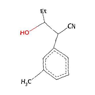 CCC(O)C(C#N)c1cccc(C)c1